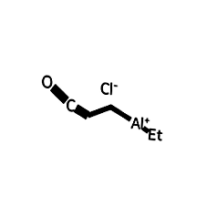 C[CH2][Al+][CH2]C=C=O.[Cl-]